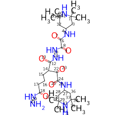 CC1(C)CC(NC(=O)C(=O)NNC(=O)C(CCCC(=O)NN)C(=O)C(=O)NC2CC(C)(C)NC(C)(C)C2)CC(C)(C)N1